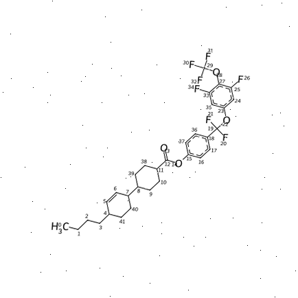 CCCCC1C=CC(C2CCC(C(=O)Oc3ccc(C(F)(F)Oc4cc(F)c(OC(F)(F)F)c(F)c4)cc3)CC2)CC1